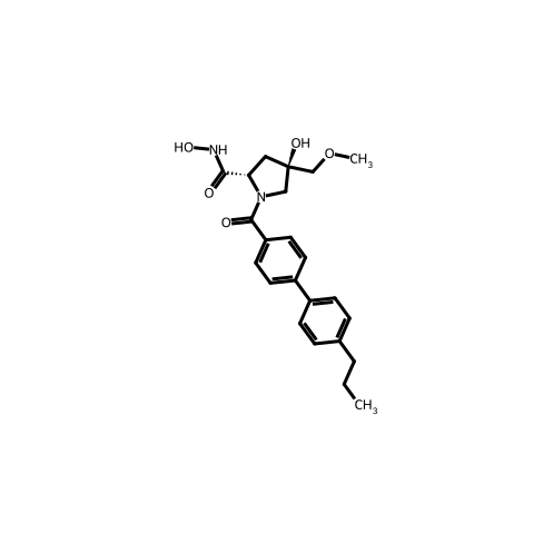 CCCc1ccc(-c2ccc(C(=O)N3C[C@@](O)(COC)C[C@H]3C(=O)NO)cc2)cc1